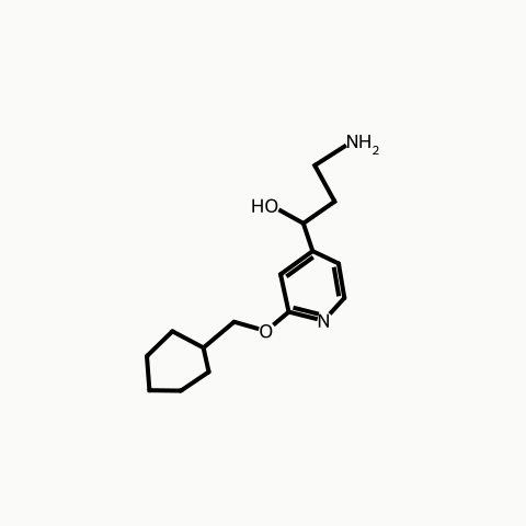 NCCC(O)c1ccnc(OCC2CCCCC2)c1